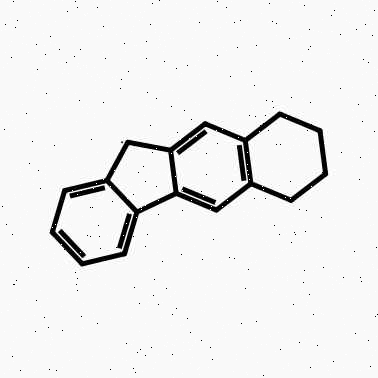 [CH]1c2ccccc2-c2cc3c(cc21)CCCC3